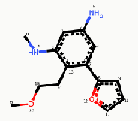 CNc1cc(N)cc(-c2ccco2)c1CCOC